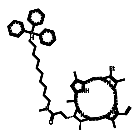 C=Cc1c(C)c2cc3nc(c(C)c4cc(C)c(cc5nc(cc1[nH]2)C(C)=C5CC)[nH]4)[C@@H](CCC(=O)N(C)CCCCCCCCCC[PH](c1ccccc1)(c1ccccc1)c1ccccc1)[C@@H]3C